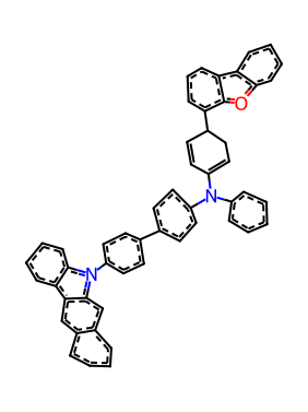 C1=CC(c2cccc3c2oc2ccccc23)CC=C1N(c1ccccc1)c1ccc(-c2ccc(-n3c4ccccc4c4cc5ccccc5cc43)cc2)cc1